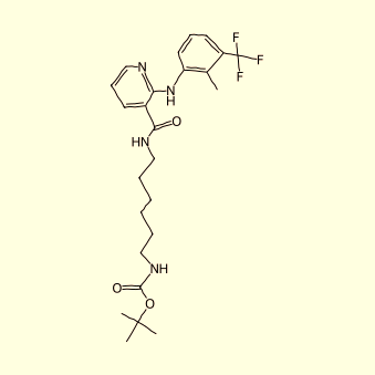 Cc1c(Nc2ncccc2C(=O)NCCCCCCNC(=O)OC(C)(C)C)cccc1C(F)(F)F